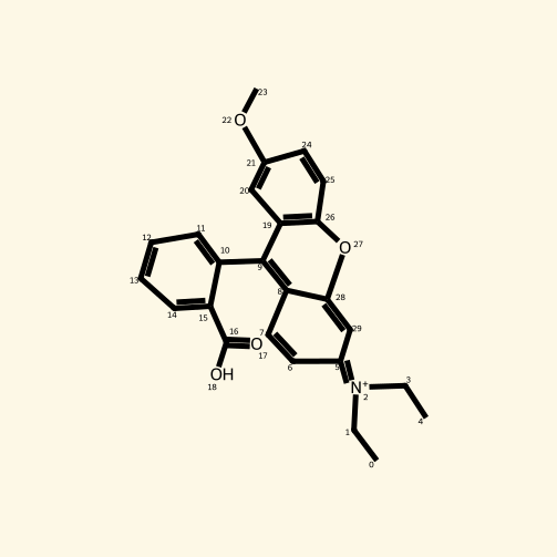 CC[N+](CC)=c1ccc2c(-c3ccccc3C(=O)O)c3cc(OC)ccc3oc-2c1